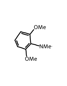 C[N]c1c(OC)cccc1OC